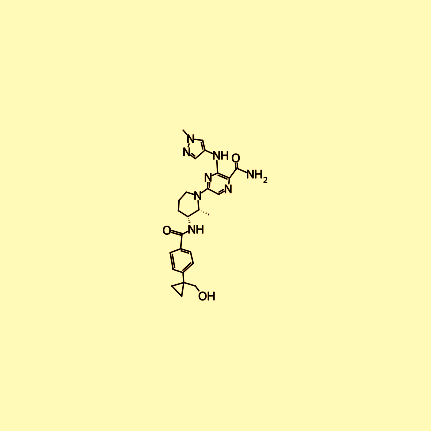 C[C@@H]1[C@H](NC(=O)c2ccc(C3(CO)CC3)cc2)CCCN1c1cnc(C(N)=O)c(Nc2cnn(C)c2)n1